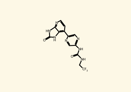 O=C(NCC(F)(F)F)Nc1cnc(-c2ccnc3[nH]c(=O)[nH]c23)cn1